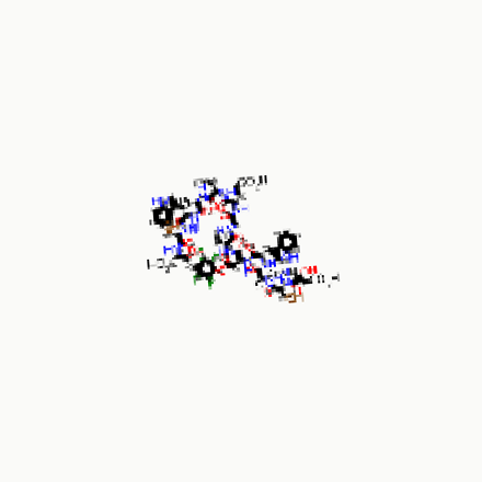 CC(=O)NC(O)(CC(=O)O)C(=O)N[C@@H](CS)C(=O)N[C@@H](C)C(=O)N[C@@H](Cc1c[nH]c2ccccc12)C(=O)N[C@@H](CC(=O)Oc1c(F)c(F)cc(F)c1F)C(=O)N[C@@H](CC(C)C)C(=O)NCC(=O)N[C@@H](CCC(=O)O)C(=O)N[C@@H](CC(C)C)C(=O)N[C@H](C(=O)N[C@@H](Cc1c[nH]c2ccccc12)C(=O)N[C@@H](CS)C(=O)N[C@H](C(=O)O)[C@@H](C)O)C(C)C